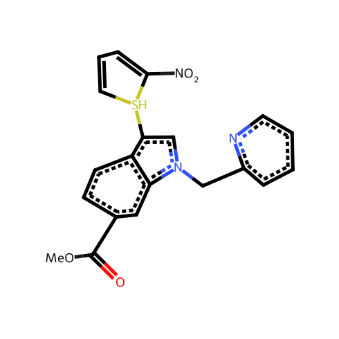 COC(=O)c1ccc2c([SH]3C=CC=C3[N+](=O)[O-])cn(Cc3ccccn3)c2c1